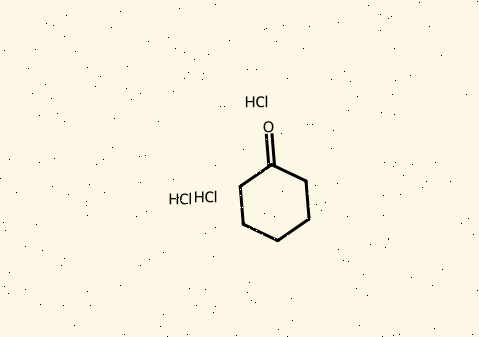 Cl.Cl.Cl.O=C1CCCCC1